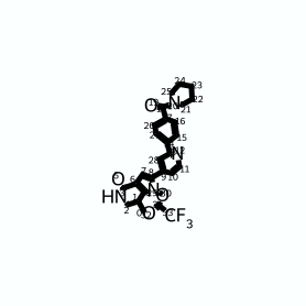 CC1CNC(=O)c2cc(-c3ccnc(-c4ccc(C(=O)N5CCCCC5)cc4)c3)n(OC(=O)C(F)(F)F)c21